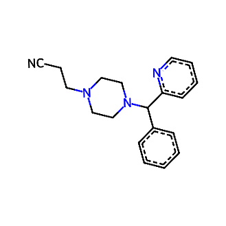 N#CCCN1CCN(C(c2ccccc2)c2ccccn2)CC1